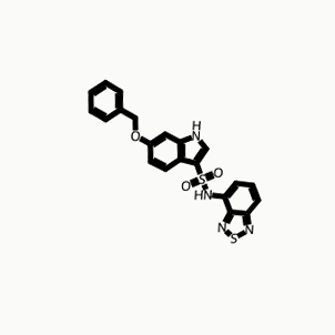 O=S(=O)(Nc1cccc2nsnc12)c1c[nH]c2cc(OCc3ccccc3)ccc12